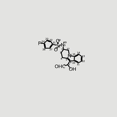 CN(C1CCc2c(C(O)C=O)c3ccccc3n2C1)S(=O)(=O)c1ccc(F)cc1